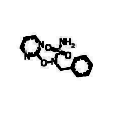 NS(=O)(=O)N(Cc1ccccc1)Oc1ncccn1